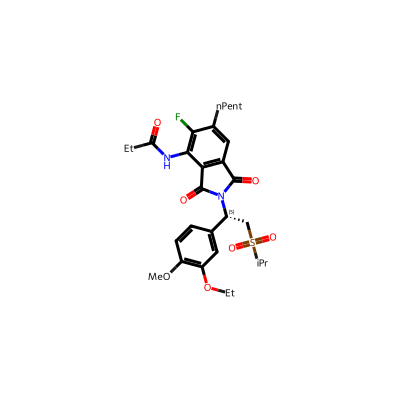 CCCCCc1cc2c(c(NC(=O)CC)c1F)C(=O)N([C@H](CS(=O)(=O)C(C)C)c1ccc(OC)c(OCC)c1)C2=O